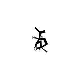 C=C(C)[C@@H]1C=C[C@@]2(C)CC1O2